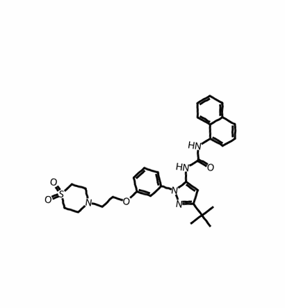 CC(C)(C)c1cc(NC(=O)Nc2cccc3ccccc23)n(-c2cccc(OCCN3CCS(=O)(=O)CC3)c2)n1